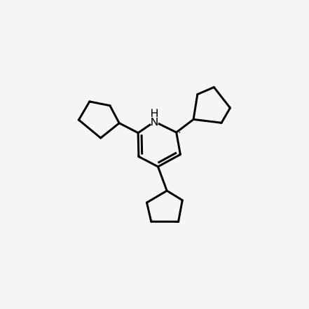 C1=C(C2CCCC2)C=C(C2CCCC2)N[C]1C1CCCC1